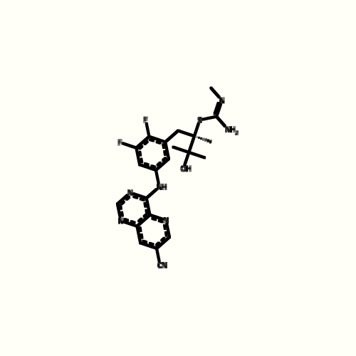 C/N=C(/N)S[C@](C)(Cc1cc(Nc2ncnc3cc(C#N)cnc23)cc(F)c1F)C(C)(C)O